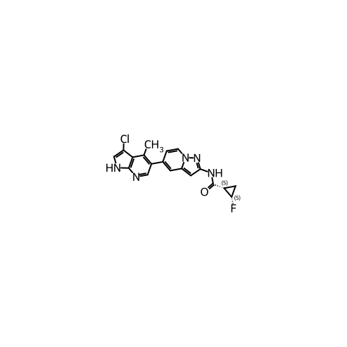 Cc1c(-c2ccn3nc(NC(=O)[C@@H]4C[C@@H]4F)cc3c2)cnc2[nH]cc(Cl)c12